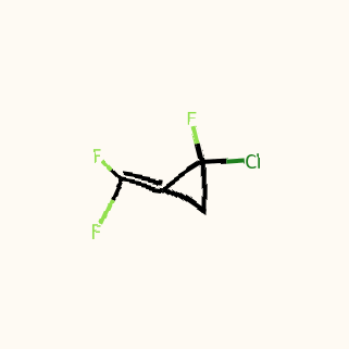 FC(F)=C1CC1(F)Cl